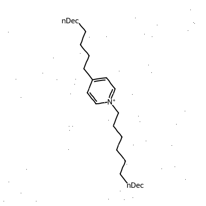 CCCCCCCCCCCCCCCC[n+]1ccc(CCCCCCCCCCCCCC)cc1